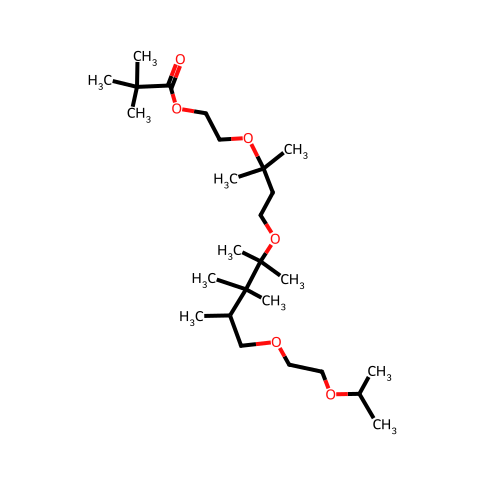 CC(C)OCCOCC(C)C(C)(C)C(C)(C)OCCC(C)(C)OCCOC(=O)C(C)(C)C